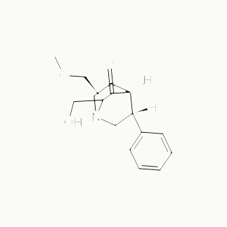 COC[C@@]1(CO)C(=O)[C@H]2CCN1C[C@H]2c1ccccc1